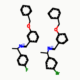 CC(/N=C/c1cccc(OCc2ccccc2)c1)c1ccc(Br)cc1.CC(/N=C/c1cccc(OCc2ccccc2)c1)c1ccc(F)cc1